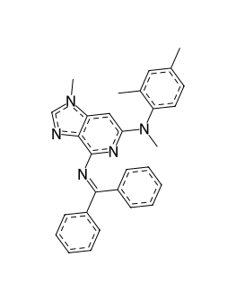 Cc1ccc(N(C)c2cc3c(ncn3C)c(N=C(c3ccccc3)c3ccccc3)n2)c(C)c1